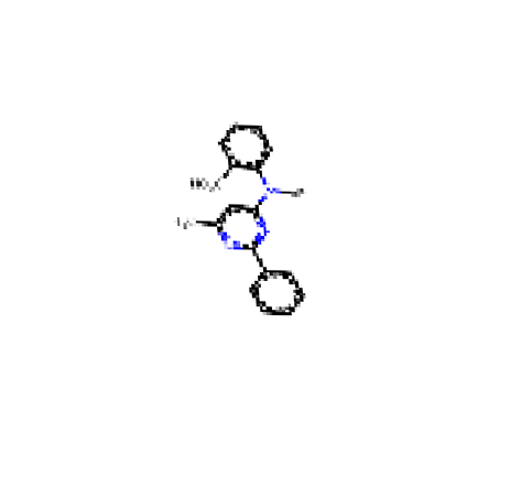 CCCN(c1cc(C)nc(-c2ccccc2)n1)c1ccccc1C(=O)O